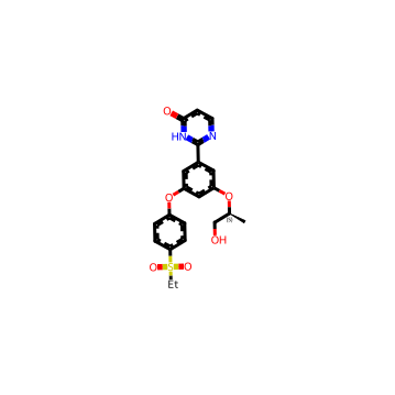 CCS(=O)(=O)c1ccc(Oc2cc(O[C@@H](C)CO)cc(-c3nccc(=O)[nH]3)c2)cc1